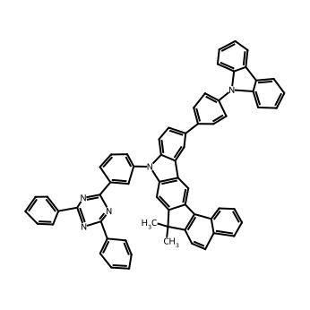 CC1(C)c2cc3c(cc2-c2c1ccc1ccccc21)c1cc(-c2ccc(-n4c5ccccc5c5ccccc54)cc2)ccc1n3-c1cccc(-c2nc(-c3ccccc3)nc(-c3ccccc3)n2)c1